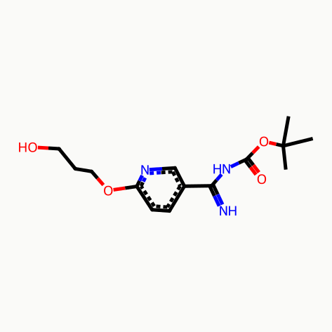 CC(C)(C)OC(=O)NC(=N)c1ccc(OCCCO)nc1